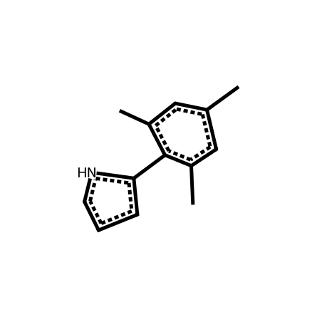 Cc1cc(C)c(-c2ccc[nH]2)c(C)c1